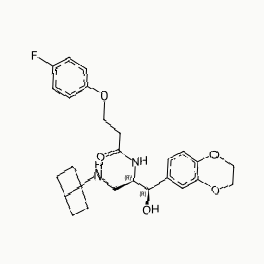 O=C(CCOc1ccc(F)cc1)N[C@H](CNC12CCC1CC2)[C@H](O)c1ccc2c(c1)OCCO2